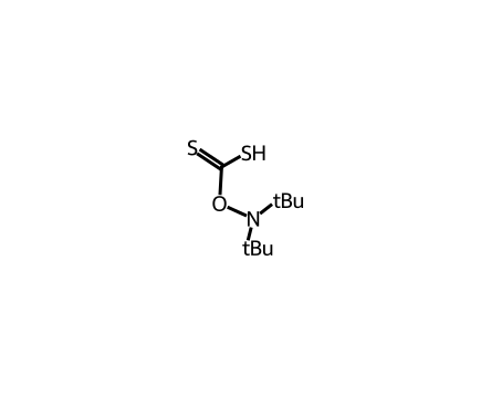 CC(C)(C)N(OC(=S)S)C(C)(C)C